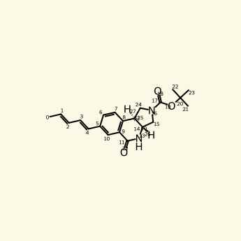 CC=CC=Cc1ccc2c(c1)C(=O)N[C@H]1CN(C(=O)OC(C)(C)C)C[C@H]21